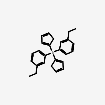 CCc1ccc[c]([Ti]([C]2=CC=CC2)([C]2=CC=CC2)[c]2cccc(CC)c2)c1